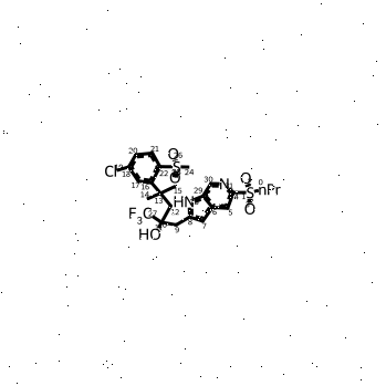 CCCS(=O)(=O)c1cc2cc(CC(O)(CC(C)(C)c3cc(Cl)ccc3S(C)(=O)=O)C(F)(F)F)[nH]c2cn1